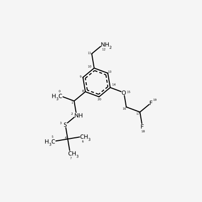 CC(NSC(C)(C)C)c1cc(CN)cc(OCC(F)F)c1